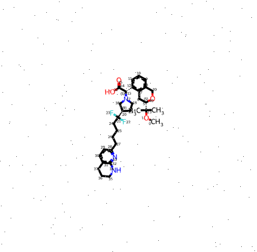 COC(C)(C)[C@@H]1Cc2c(cccc2[C@@H](C(=O)O)N2CC[C@@H](C(F)(F)CCCCc3ccc4c(n3)NCCC4)C2)CO1